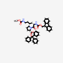 CC(C)(C)OC(=O)NCCCC[C@H](NC(=O)OCC1c2ccccc2-c2ccccc21)C(=O)N1CCC[C@H]1C(=O)OC(c1ccccc1)(c1ccccc1)c1ccccc1